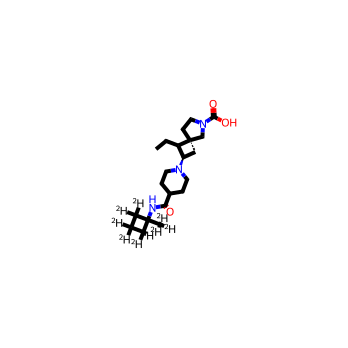 [2H]C([2H])([2H])C1(NC(=O)C2CCN([C@@H]3C[C@@]4(CCN(C(=O)O)C4)C3CC)CC2)C([2H])([2H])C([2H])([2H])C1([2H])[2H]